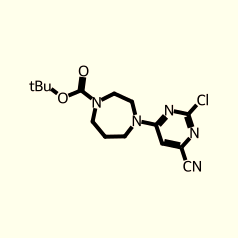 CC(C)(C)OC(=O)N1CCCN(c2cc(C#N)nc(Cl)n2)CC1